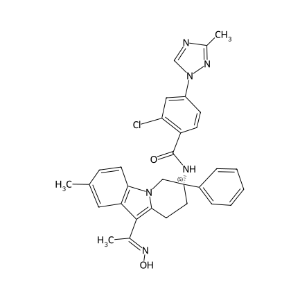 CC(=NO)c1c2n(c3ccc(C)cc13)C[C@@](NC(=O)c1ccc(-n3cnc(C)n3)cc1Cl)(c1ccccc1)CC2